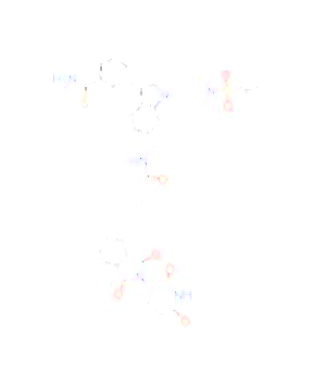 CCCS(=O)(=O)N1CCC(n2cc(-c3cccc(C(N)=S)c3)c3ccc(CNC(=O)CCCCc4cccc5c4C(=O)N(C4CCC(=O)NC4=O)C5=O)cc32)CC1